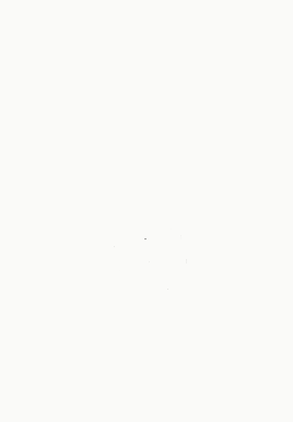 C=CCCO[Si](C)(C)C(C)(C)C